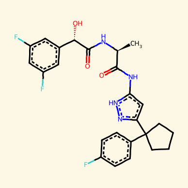 C[C@H](NC(=O)[C@@H](O)c1cc(F)cc(F)c1)C(=O)Nc1cc(C2(c3ccc(F)cc3)CCCC2)n[nH]1